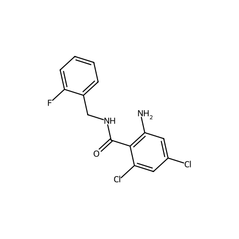 Nc1cc(Cl)cc(Cl)c1C(=O)NCc1ccccc1F